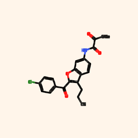 COC(=O)C(=O)Nc1ccc2c(CCC#N)c(C(=O)c3ccc(Cl)cc3)oc2c1